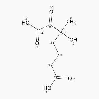 CC(O)(CCCC(=O)O)C(=O)C(=O)O